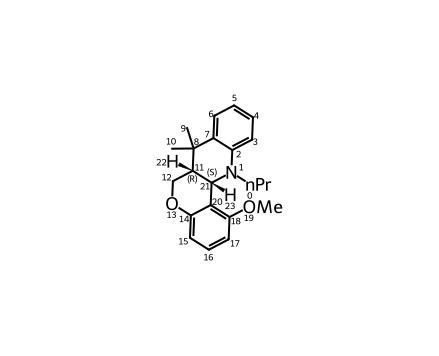 CCCN1c2ccccc2C(C)(C)[C@H]2COc3cccc(OC)c3[C@H]21